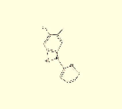 Cc1cc2c(cc1Cl)[nH]n2-c1ccccn1